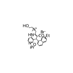 CCOC(=O)C1=C(C[N+](C)(C)CCO)Nc2ccnc(OC(C)C)c2C1c1cccc2ccccc12.[Br-]